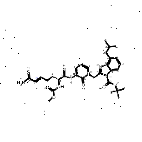 COC(=O)N[C@@H](CC/C=C/C(N)=O)C(=O)Nc1cccn(Cc2nc3c(CC(C)C)cccc3n2C(=O)OC(C)(C)C)c1=O